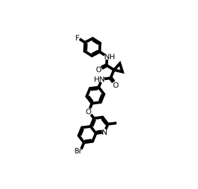 Cc1cc(Oc2ccc(NC(=O)C3(C(=O)Nc4ccc(F)cc4)CC3)cc2)c2ccc(Br)cc2n1